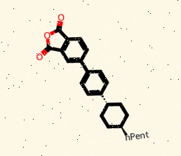 CCCCC[C@H]1CC[C@H](c2ccc(-c3ccc4c(c3)C(=O)OC4=O)cc2)CC1